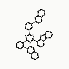 c1cc(-c2ccc3ccccc3c2)cc(-c2nc(-c3ccccc3-c3ccc4ccccc4c3)nc(-c3cccc4c3sc3ccccc34)n2)c1